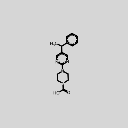 CC(c1ccccc1)c1cnc(N2CCN(C(=O)O)CC2)nc1